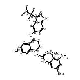 COc1c(N)cc(C(C)(C)C)cc1NC(=O)N[C@H]1CC[C@@H](Oc2ccc3nnc(C(C)(C)N(C)C)n3c2)c2ccccc21.Cl